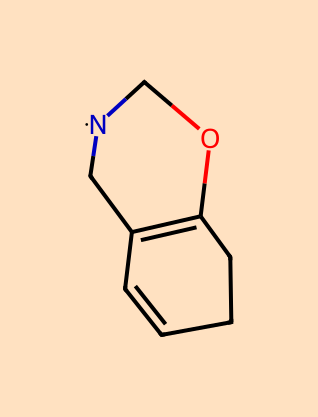 C1=CC2=C(CC1)OC[N]C2